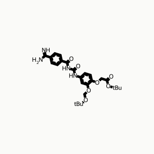 CC(C)(C)OCOc1cc(NC(=O)NC(=O)c2ccc(C(=N)N)cc2)ccc1OCC(=O)OC(C)(C)C